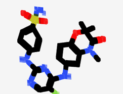 CN1C(=O)C(C)(C)Oc2ccc(Nc3nc(Nc4ccc(S(N)(=O)=O)cc4)ncc3F)cc21